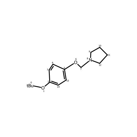 CC(C)(C)Oc1ccc(OCN2CCCC2)cc1